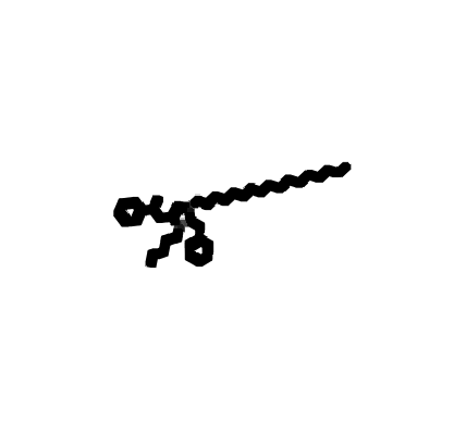 CCCCCCCCCCCCCCCCCn1cc(CC(C)c2ccccc2)[n+](CCCCC)c1Cc1ccccc1